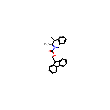 C[C@@H](c1ccccc1)[C@@H](C(=O)O)N(C)C(=O)OCC1c2ccccc2-c2ccccc21